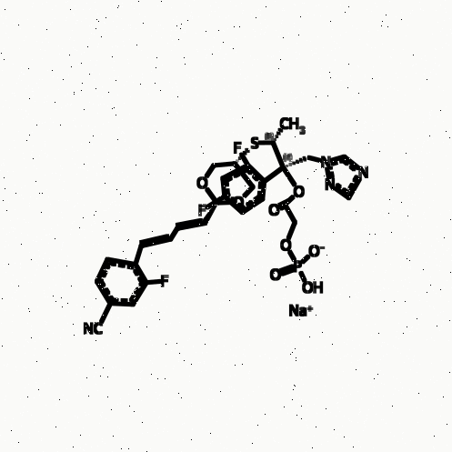 C[C@@H](S[C@H]1CO[C@H](C=CC=Cc2ccc(C#N)cc2F)OC1)[C@@](Cn1cncn1)(OC(=O)COP(=O)([O-])O)c1ccc(F)cc1F.[Na+]